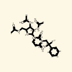 CC(=O)OCC1OC(n2ccc(=O)n(CC(F)(F)c3ccccc3)c2=O)[C@@H](OC(C)=O)C1OC(C)=O